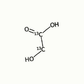 O=[13C](O)[13CH2]O